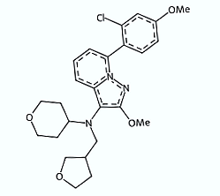 COc1ccc(-c2cccc3c(N(CC4CCOC4)C4CCOCC4)c(OC)nn23)c(Cl)c1